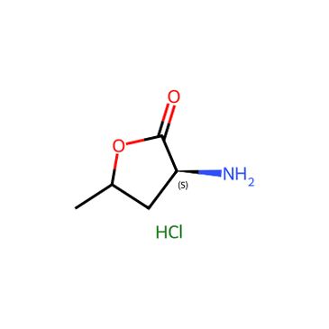 CC1C[C@H](N)C(=O)O1.Cl